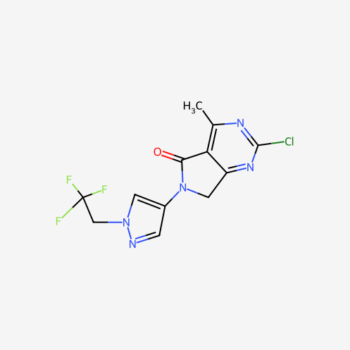 Cc1nc(Cl)nc2c1C(=O)N(c1cnn(CC(F)(F)F)c1)C2